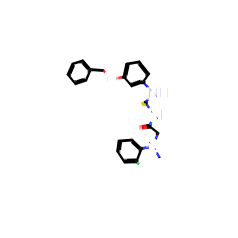 CN(CC(=O)NC(=S)Nc1cccc(OCc2ccccc2)c1)c1ccccc1Cl